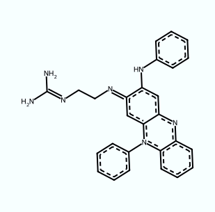 NC(N)=NCC/N=c1\cc2n(-c3ccccc3)c3ccccc3nc-2cc1Nc1ccccc1